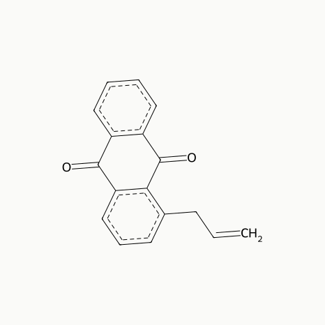 C=CCc1cccc2c1C(=O)c1ccccc1C2=O